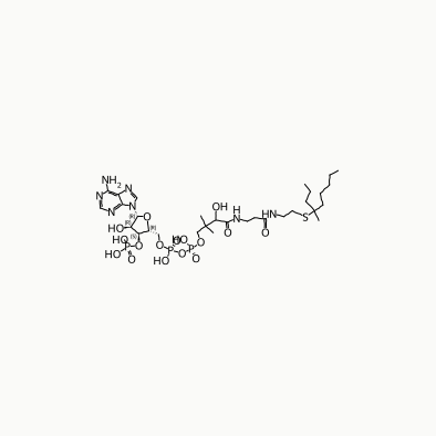 CCCCCC(C)(CCC)SCCNC(=O)CCNC(=O)C(O)C(C)(C)COP(=O)(O)OP(=O)(O)OC[C@H]1O[C@@H](n2cnc3c(N)ncnc32)[C@H](O)[C@@H]1OP(=O)(O)O